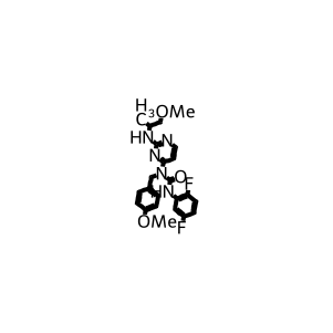 COCC(C)Nc1nccc(N(Cc2ccc(OC)cc2)C(=O)Nc2cc(F)ccc2F)n1